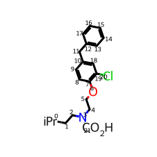 CC(C)CCN(CCOc1ccc(Cc2ccccc2)cc1Cl)C(=O)O